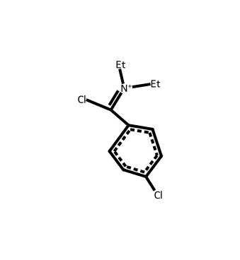 CC[N+](CC)=C(Cl)c1ccc(Cl)cc1